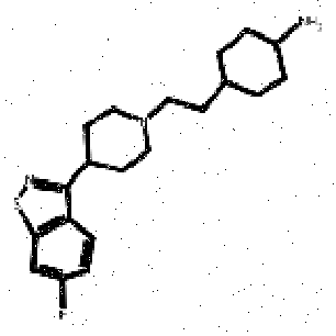 NC1CCC(CCN2CCC(c3nsc4cc(F)ccc34)CC2)CC1